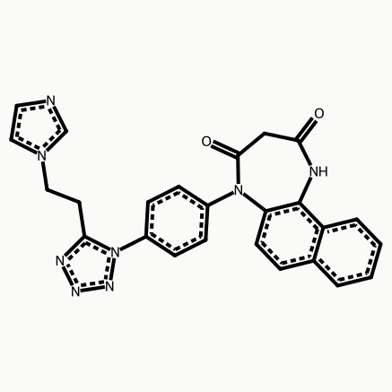 O=C1CC(=O)N(c2ccc(-n3nnnc3CCn3ccnc3)cc2)c2ccc3ccccc3c2N1